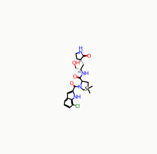 C[Si]1(C)CC(C(=O)N[C@H](CO)C[C@@H]2CCNC2=O)N(C(=O)c2cc3cccc(Cl)c3[nH]2)C1